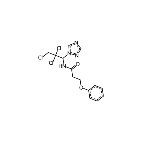 O=C(CCOc1ccccc1)NC(n1cncn1)C(Cl)(Cl)CCl